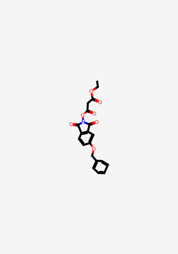 CCOC(=O)CC(=O)ON1C(=O)c2ccc(OCc3ccccc3)cc2C1=O